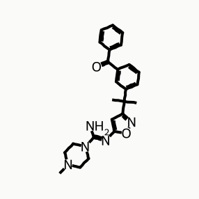 CN1CCN(/C(N)=N/c2cc(C(C)(C)c3cccc(C(=O)c4ccccc4)c3)no2)CC1